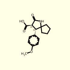 COc1ccc([C@@H]2[C@@H](C(=O)O)C(=O)NC23CCCC3)cc1